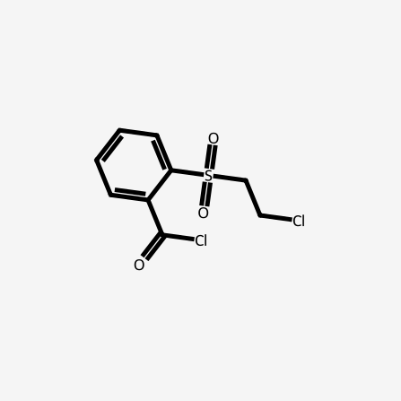 O=C(Cl)c1ccccc1S(=O)(=O)CCCl